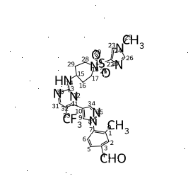 Cc1cc(C=O)ccc1-n1cc(-c2nc(NC3CCN(S(=O)(=O)c4cn(C)cn4)CC3)ncc2C(F)(F)F)cn1